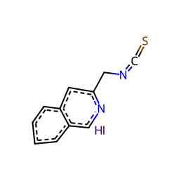 I.S=C=NCc1cc2ccccc2cn1